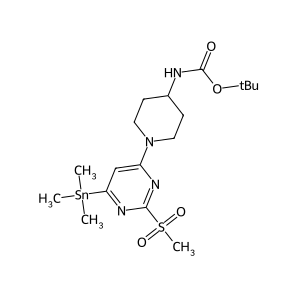 CC(C)(C)OC(=O)NC1CCN(c2c[c]([Sn]([CH3])([CH3])[CH3])nc(S(C)(=O)=O)n2)CC1